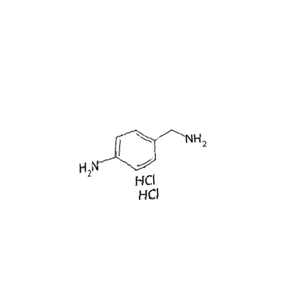 Cl.Cl.NCc1ccc(N)cc1